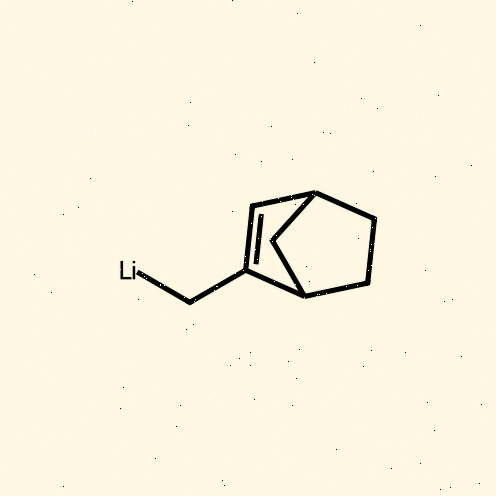 [Li][CH2]C1=CC2CCC1C2